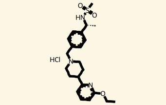 CCOc1cccc(C2CCN(Cc3ccc([C@@H](C)NS(C)(=O)=O)cc3)CC2)n1.Cl